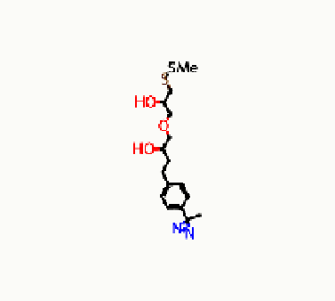 CSSCC(O)COCC(O)CCc1ccc(C2(C)N=N2)cc1